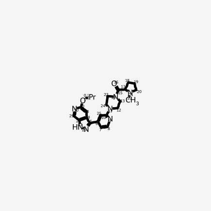 CC(C)Oc1cc2c(-c3ccnc(N4CCN(C(=O)C5CCCN5C)CC4)c3)n[nH]c2cn1